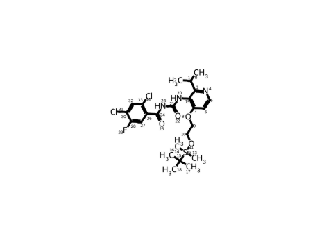 CC(C)c1nccc(OCCO[Si](C)(C)C(C)(C)C)c1NC(=O)NC(=O)c1cc(F)c(Cl)cc1Cl